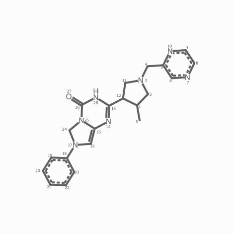 CC1CN(Cc2cnccn2)CC1C1=NC2=CN(c3ccccc3)CN2C(=O)N1